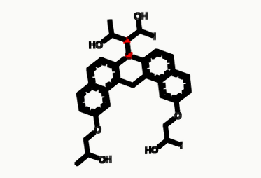 CC(O)COc1ccc2ccc(OCC(O)I)c(Cc3c(OCC(C)O)ccc4ccc(OCC(O)I)cc34)c2c1